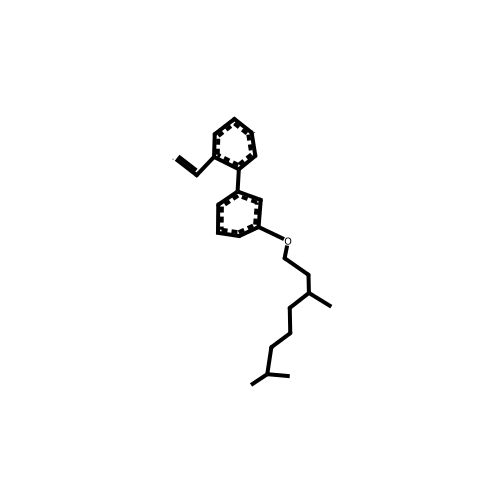 [CH]=Cc1cc[c]cc1-c1cccc(OCCC(C)CCCC(C)C)c1